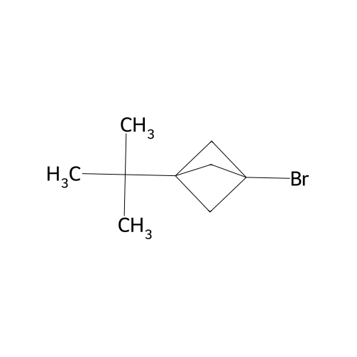 CC(C)(C)C12CC(Br)(C1)C2